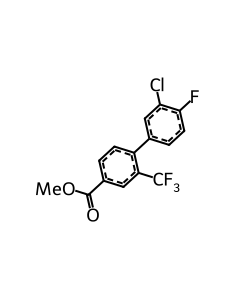 COC(=O)c1ccc(-c2ccc(F)c(Cl)c2)c(C(F)(F)F)c1